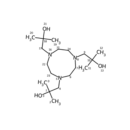 CC(C)(O)CN1CCN(CC(C)(C)O)CCN(CC(C)(C)O)CC1